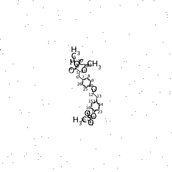 CCOC(=O)C(Cc1ccc(OCCc2ccc(OS(C)(=O)=O)cc2)cc1)OC(C)C